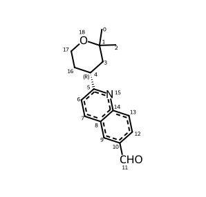 CC1(C)C[C@H](c2ccc3cc(C=O)ccc3n2)CCO1